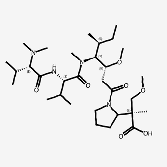 CC[C@H](C)[C@@H]([C@@H](CC(=O)N1CCCC1[C@@](C)(COC)C(=O)O)OC)N(C)C(=O)[C@@H](NC(=O)[C@H](C(C)C)N(C)C)C(C)C